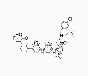 CC(C)[C@@H]1CC[C@]2([C@H](O)CN(CCN(C)C)Cc3ccc(Cl)cc3)CC[C@]3(C)[C@H](CC[C@@H]4[C@@]5(C)CC=C(C6=CC(C(CF)C(=O)O)CCC6)C(C)(C)[C@@H]5CC[C@]43C)[C@@H]12